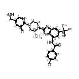 C[C@@H]1CN(c2ncc(CO)cc2Cl)CCN1c1nc2cc(C(F)(F)F)cc(NC(=O)c3ccc(Cl)cc3)c2[nH]1